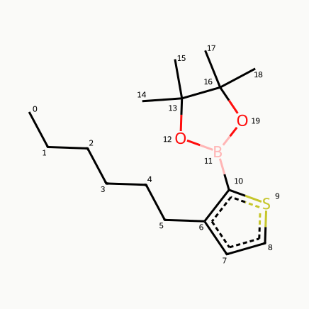 CCCCCCc1ccsc1B1OC(C)(C)C(C)(C)O1